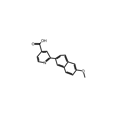 COc1ccc2cc(-c3cc(C(=O)O)ccn3)ccc2c1